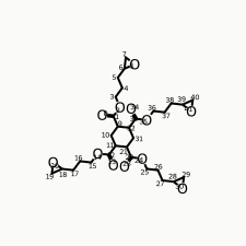 O=C(OCCCC1CO1)C1CC(C(=O)OCCCC2CO2)C(C(=O)OCCCC2CO2)CC1C(=O)OCCCC1CO1